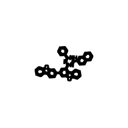 c1ccc(C2N=C(c3cc(-c4ccc5c(c4)oc4ccccc45)cc4oc5ccccc5c34)N=C(c3ccc4ccccc4c3)N2)cc1